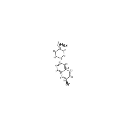 CCCCCC[C@H]1CC[C@H](c2ccc3cc(Br)ccc3c2)CC1